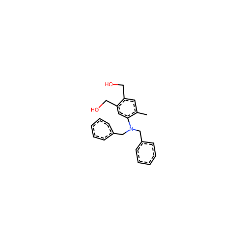 Cc1cc(CO)c(CO)cc1N(Cc1ccccc1)Cc1ccccc1